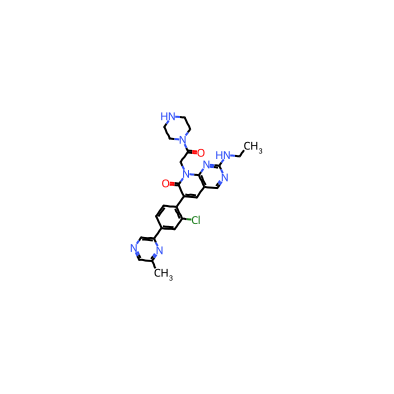 CCNc1ncc2cc(-c3ccc(-c4cncc(C)n4)cc3Cl)c(=O)n(CC(=O)N3CCNCC3)c2n1